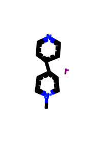 C[n+]1ccc(-c2ccncc2)cc1.[I-]